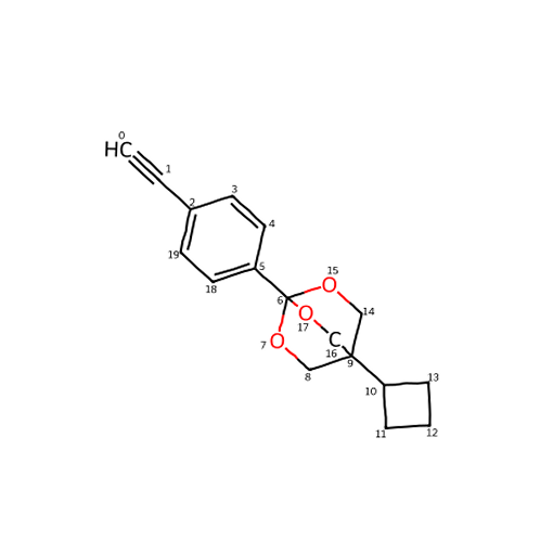 C#Cc1ccc(C23OCC(C4CCC4)(CO2)CO3)cc1